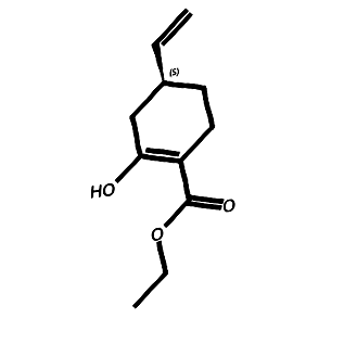 C=C[C@H]1CCC(C(=O)OCC)=C(O)C1